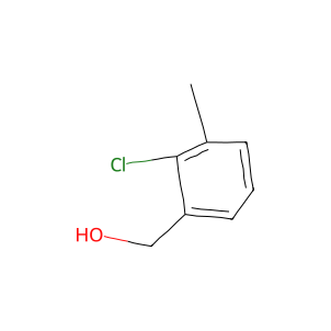 Cc1cccc(CO)c1Cl